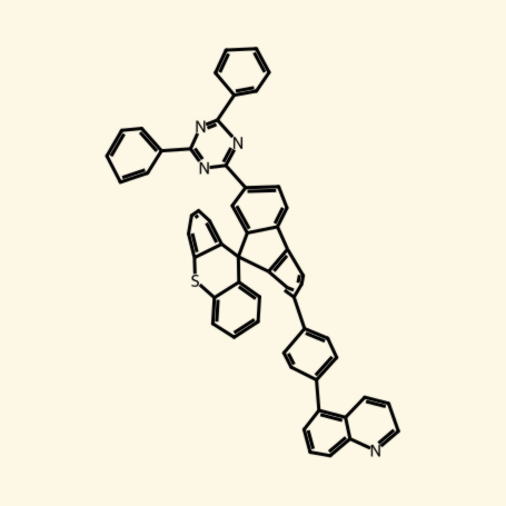 c1ccc(-c2nc(-c3ccccc3)nc(-c3ccc4c(c3)C3(c5ccccc5Sc5ccccc53)c3cc(-c5ccc(-c6cccc7ncccc67)cc5)ccc3-4)n2)cc1